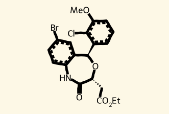 CCOC(=O)C[C@H]1O[C@H](c2cccc(OC)c2Cl)c2cc(Br)ccc2NC1=O